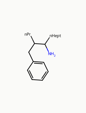 CCCCCCCC(N)C(CCC)Cc1ccccc1